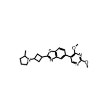 COc1ncc(-c2ccc3sc(C4CC(N5CCCC5C)C4)nc3c2)c(OC)n1